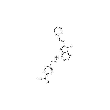 Cc1c(/C=C/c2ccccc2)sc2c(NN=Cc3ccc(C(=O)O)cc3)ncnc12